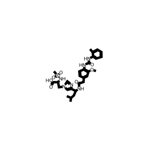 COc1cc(CC(=O)NC(CC(C)C)c2cn(CC(NS(C)(=O)=O)C(=O)O)cn2)ccc1NC(=O)Nc1ccccc1C